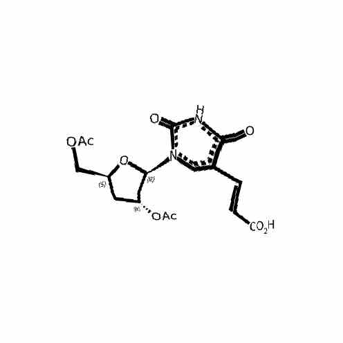 CC(=O)OC[C@@H]1C[C@@H](OC(C)=O)[C@H](n2cc(C=CC(=O)O)c(=O)[nH]c2=O)O1